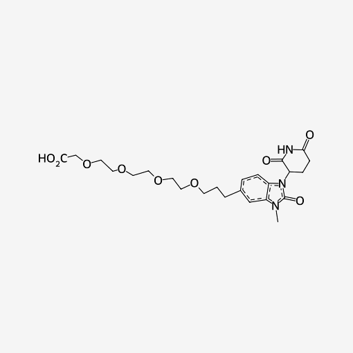 Cn1c(=O)n(C2CCC(=O)NC2=O)c2ccc(CCCOCCOCCOCCOCC(=O)O)cc21